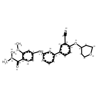 COc1cc(Nc2nccc(-c3ccc(OC4CCOCC4)c(C#N)c3)n2)cnc1C(=O)N(C)C